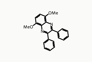 COc1ccc(OC)c2nc(-c3ccccc3)c(-c3ccccc3)nc12